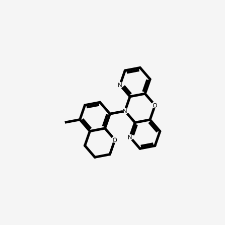 Cc1ccc(N2c3ncccc3Oc3cccnc32)c2c1CCCO2